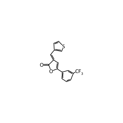 O=C1OC(c2cccc(C(F)(F)F)c2)=CC1=Cc1ccsc1